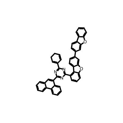 C1=CC(c2nc(-c3cc4ccccc4c4ccccc34)nc(-c3cccc4oc5cc(-c6ccc7c(c6)oc6ccccc67)ccc5c34)n2)=CCC1